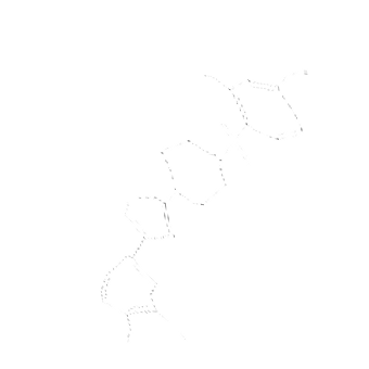 O=S(=O)(c1ccc(Br)cc1Cl)N1CCN(c2nc(-c3ccc(F)c(F)c3)cs2)CC1